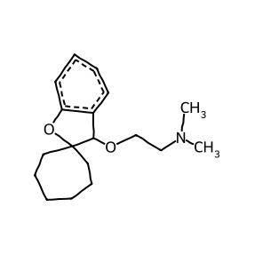 CN(C)CCOC1c2ccccc2OC12CCCCCC2